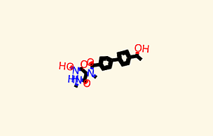 CNC(=O)C(C(=O)NO)N(C)C(=O)c1ccc(-c2ccc(C(C)O)cc2)cc1